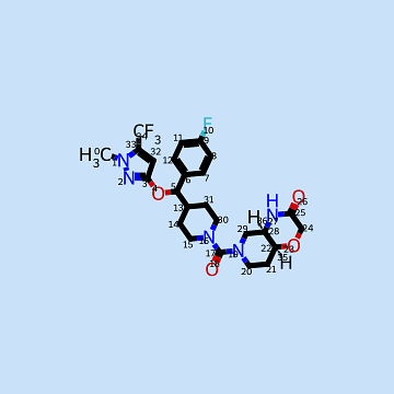 Cn1nc(OC(c2ccc(F)cc2)C2CCN(C(=O)N3CC[C@@H]4OCC(=O)N[C@@H]4C3)CC2)cc1C(F)(F)F